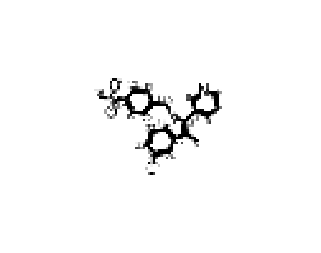 Cc1c(-c2cccnc2)n(Cc2ccc(S(C)(=O)=O)cc2)c2ccc(Cl)cc12